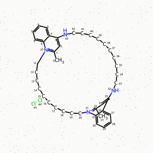 Cc1cc2c3ccccc3[n+]1CCCCCCCCCC[n+]1c(C)cc(c3ccccc31)NCCCCCCCCCCN2.[Cl-].[Cl-]